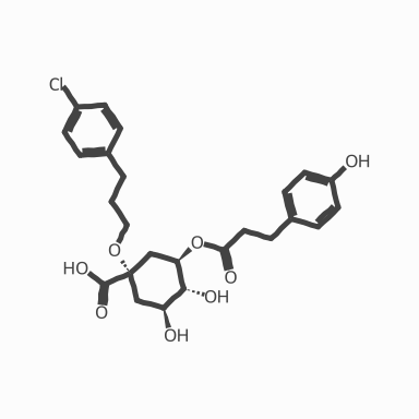 O=C(CCc1ccc(O)cc1)O[C@@H]1C[C@](OCCCc2ccc(Cl)cc2)(C(=O)O)C[C@H](O)[C@H]1O